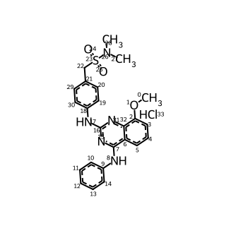 COc1cccc2c(Nc3ccccc3)nc(Nc3ccc(CS(=O)(=O)N(C)C)cc3)nc12.Cl